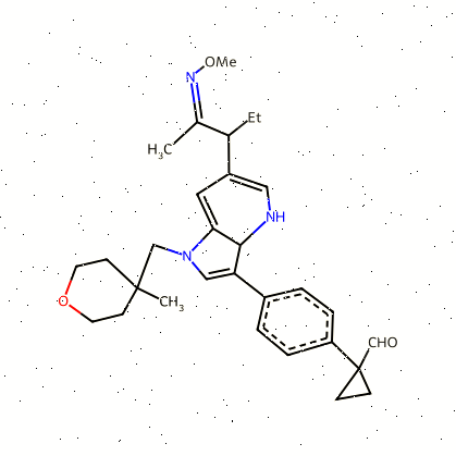 CCC(C1=CNC2C(c3ccc(C4(C=O)CC4)cc3)=CN(CC3(C)CCOCC3)C2=C1)/C(C)=N\OC